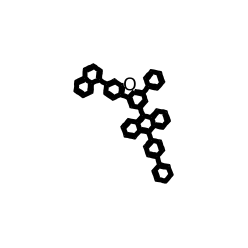 C1=CC(c2ccc(-c3c4ccccc4c(-c4cc(-c5ccccc5)c5oc6cc(-c7cccc8ccccc78)ccc6c5c4)c4ccccc34)cc2)=CCC1